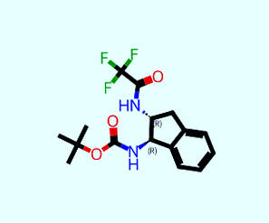 CC(C)(C)OC(=O)N[C@@H]1c2ccccc2C[C@H]1NC(=O)C(F)(F)F